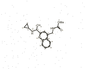 COC(=O)NCc1cc(C(C)NC2CC2)nc2ccccc12